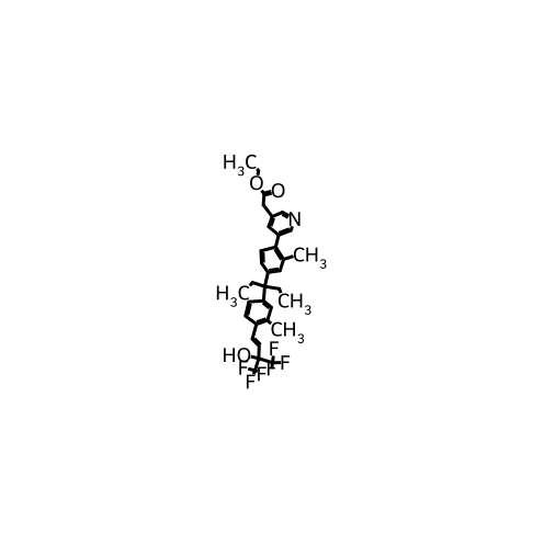 CCOC(=O)Cc1cncc(-c2ccc(C(CC)(CC)c3ccc(/C=C/C(O)(C(F)(F)F)C(F)(F)F)c(C)c3)cc2C)c1